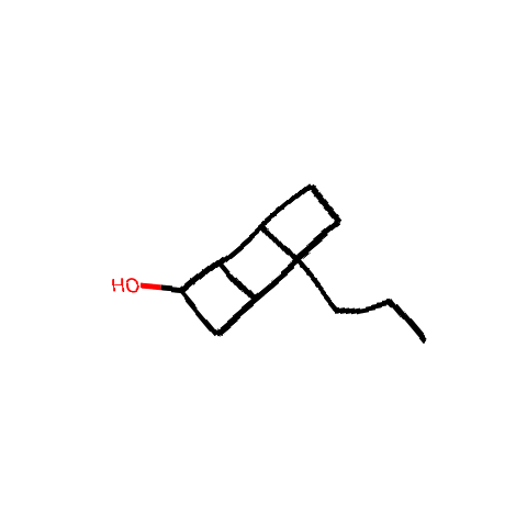 CCCC12C3C4C1C1C2C3C41O